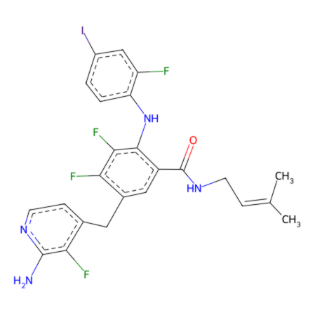 CC(C)=CCNC(=O)c1cc(Cc2ccnc(N)c2F)c(F)c(F)c1Nc1ccc(I)cc1F